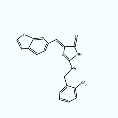 O=C1NC(NCc2ccccc2C(F)(F)F)=N/C1=C\c1ccc2ncsc2c1